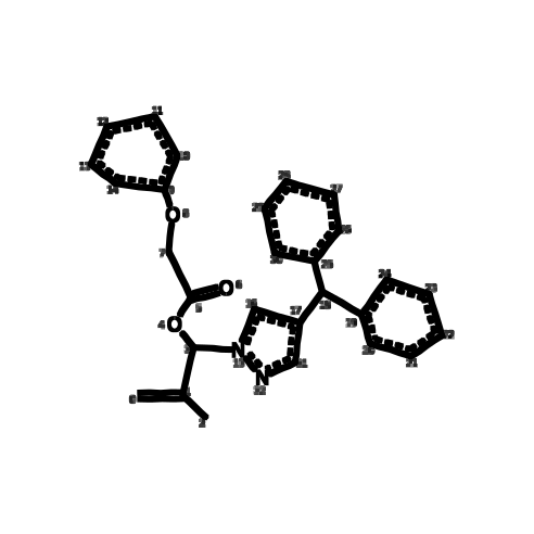 C=C(C)C(OC(=O)COc1ccccc1)n1cc(C(c2ccccc2)c2ccccc2)cn1